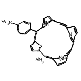 Nc1ccc(-c2c3nc(cc4ccc(cc5nc(cc6ccc2[nH]6)C=C5)[nH]4)C=C3)cc1.[AlH3]